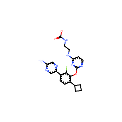 Nc1cnc(-c2ccc(C3CCC3)c(Oc3nccc(NCCNC(=O)O)n3)c2F)cn1